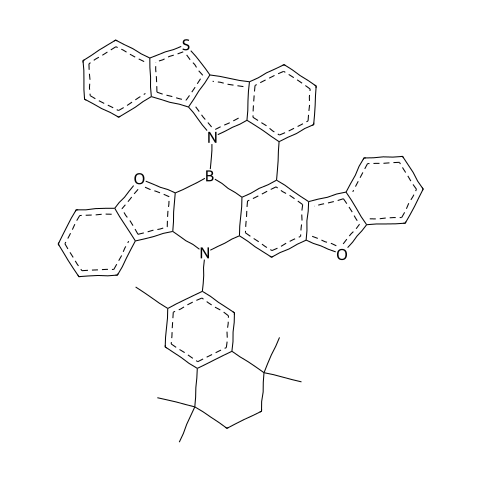 Cc1cc2c(cc1N1c3cc4oc5ccccc5c4c4c3B(c3oc5ccccc5c31)n1c3c-4cccc3c3sc4ccccc4c31)C(C)(C)CCC2(C)C